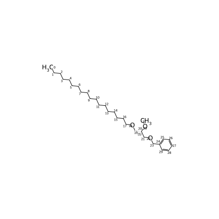 CCCCCCCCCCCCCCCCCCOC[C@@H](COCc1ccccc1)OC